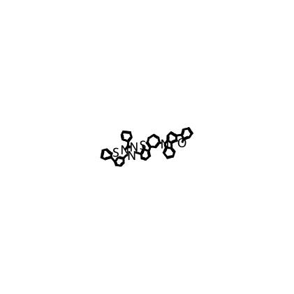 C1=CC(n2c3ccccc3c3c4oc5ccccc5c4ccc32)=Cc2c(sc3c(-c4nc(-c5ccccc5)nc(-c5cccc6c5sc5ccccc56)n4)cccc23)C1